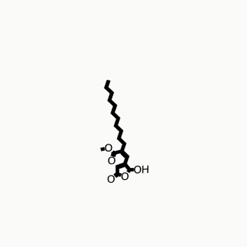 CCCCCCCCCCC/C(=C/C1=CC(=O)OC1O)C(=O)OC